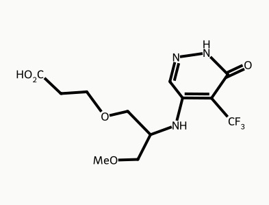 COCC(COCCC(=O)O)Nc1cn[nH]c(=O)c1C(F)(F)F